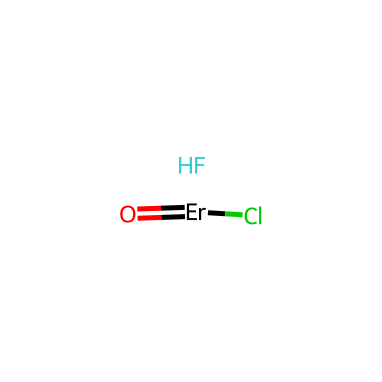 F.[O]=[Er][Cl]